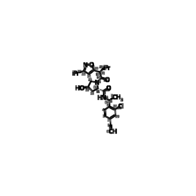 C#Cc1ccc([C@H](C)NC(=O)[C@@H]2C[C@@H](O)CN2C(=O)[C@@H](c2cc(C(C)C)no2)C(C)C)c(Cl)c1